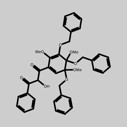 COC1=C(OCc2ccccc2)C(OC)(OCc2ccccc2)C(OC)(OCc2ccccc2)C=C1C(=O)C(O)C(=O)c1ccccc1